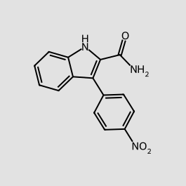 NC(=O)c1[nH]c2ccccc2c1-c1ccc([N+](=O)[O-])cc1